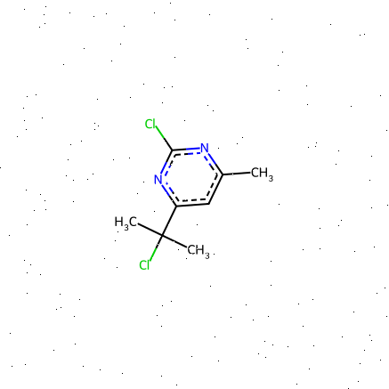 Cc1cc(C(C)(C)Cl)nc(Cl)n1